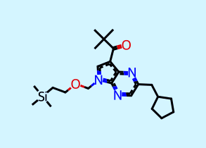 CC(C)(C)C(=O)c1cn(COCC[Si](C)(C)C)c2ncc(CC3CCCC3)nc12